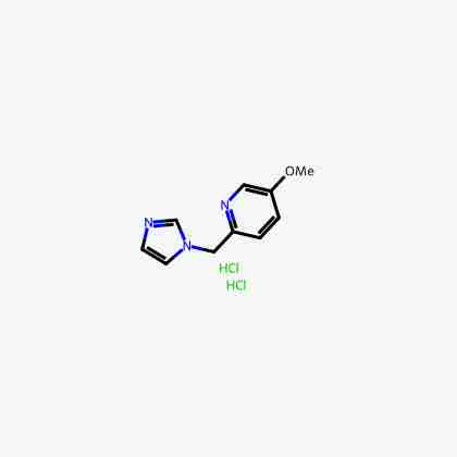 COc1ccc(Cn2ccnc2)nc1.Cl.Cl